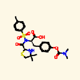 Cc1ccc(S(=O)(=O)N(C(=O)[C@H]2NC(C)(C)CS2)[C@@H](Cc2ccc(OC(=O)N(C)C)cc2)C(=O)O)cc1